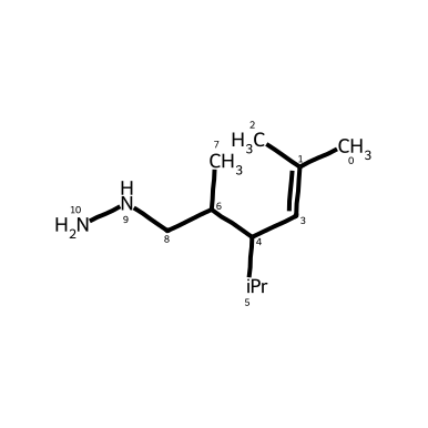 CC(C)=CC(C(C)C)C(C)CNN